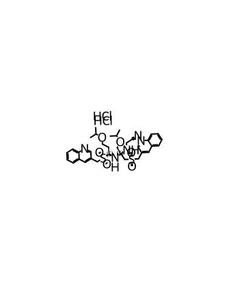 CC(C)OCC[C@@H](N[C@@](COC(C)C)(CS(=O)(=O)Cc1cnc2ccccc2c1)NCC#N)S(=O)(=O)Cc1cnc2ccccc2c1.Cl.Cl